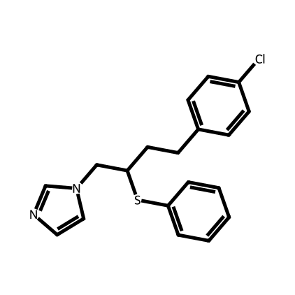 Clc1ccc(CCC(Cn2ccnc2)Sc2ccccc2)cc1